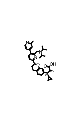 Cc1cc(-c2ccc(C3CCc4ccc([C@H](C5CC5)[C@H](C)C(=O)O)cc4O3)nc2CN(C(C)C)C(C)C)ccn1